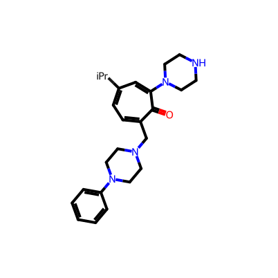 CC(C)c1ccc(CN2CCN(c3ccccc3)CC2)c(=O)c(N2CCNCC2)c1